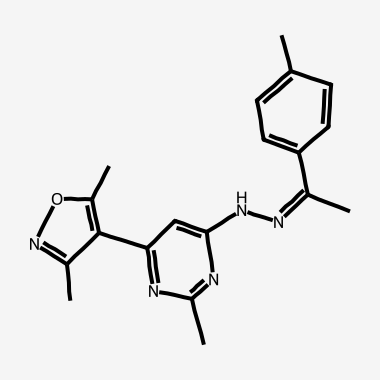 C/C(=N/Nc1cc(-c2c(C)noc2C)nc(C)n1)c1ccc(C)cc1